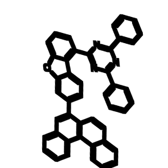 c1ccc(-c2nc(-c3ccccc3)nc(-c3cccc4oc5cc(-c6cc7ccccc7c7c6ccc6ccccc67)ccc5c34)n2)cc1